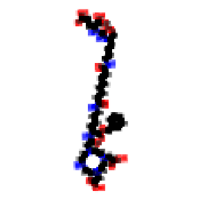 O=CC(CCCCNC(=O)CCCCCCC(=O)NCCCCC(NC(=O)CN1CCNCCN(CC(=O)O)CCN(CC(=O)O)CC1)C(=O)OCc1ccccc1)NC(=O)NC(CCC(=O)O)C(=O)O